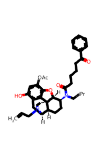 C=CCN1CC[C@]23c4c5c(O)cc(OC(C)=O)c4O[C@H]2[C@@H](N(CC(C)C)C(=O)CCCCC(=O)c2ccccc2)CC[C@H]3[C@H]1C5